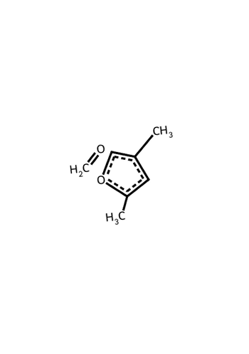 C=O.Cc1coc(C)c1